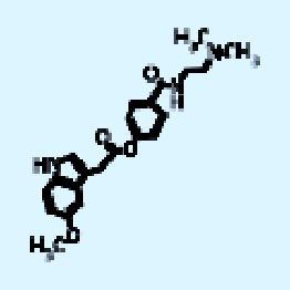 COc1ccc2[nH]cc(CC(=O)Oc3ccc(C(=O)NCCN(C)C)cc3)c2c1